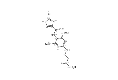 COc1nc(NCCN(C)C(=O)O)nc(OC)c1NC(=O)c1csc(Cl)n1